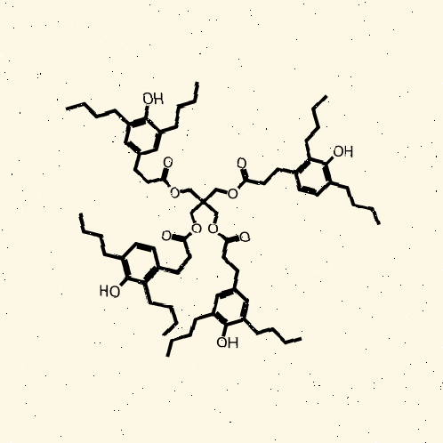 CCCCc1cc(CCC(=O)OCC(COC(=O)CCc2cc(CCCC)c(O)c(CCCC)c2)(COC(=O)CCc2ccc(CCCC)c(O)c2CCCC)COC(=O)CCc2ccc(CCCC)c(O)c2CCCC)cc(CCCC)c1O